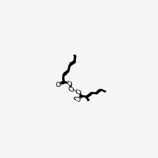 CC=CC=CC(=O)OOOC(=O)C(C)=CC=CC